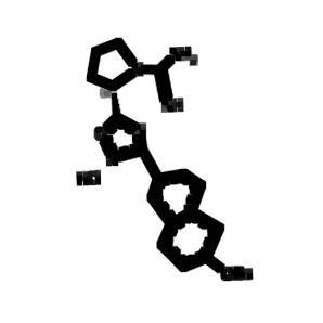 CC(C)COc1ccc2cc(-c3noc([C@@H]4CCCN4C(=N)N)n3)ccc2c1.Cl